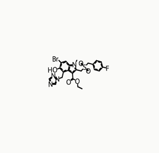 CCOC(=O)c1c(CS(=O)(=O)Cc2ccc(F)cc2)n(C)c2cc(Br)c(O)c(Cn3cncn3)c12